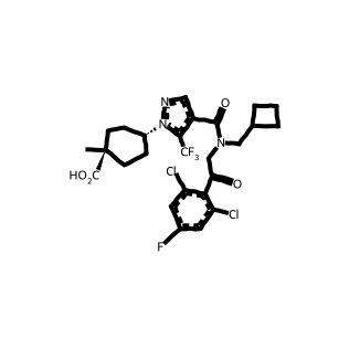 C[C@]1(C(=O)O)CC[C@H](n2ncc(C(=O)N(CC(=O)c3c(Cl)cc(F)cc3Cl)CC3CCC3)c2C(F)(F)F)CC1